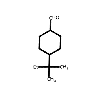 CCC(C)(C)C1C[CH]C(C=O)CC1